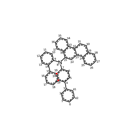 c1ccc(-c2ccc(N(c3ccccc3-c3ccccc3)c3cc4c5ccccc5ccc4c4ccccc34)cc2)cc1